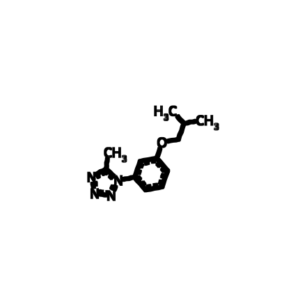 Cc1nnnn1-c1cccc(OCC(C)C)c1